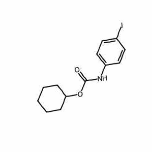 O=C(Nc1ccc(I)cc1)OC1CCCCC1